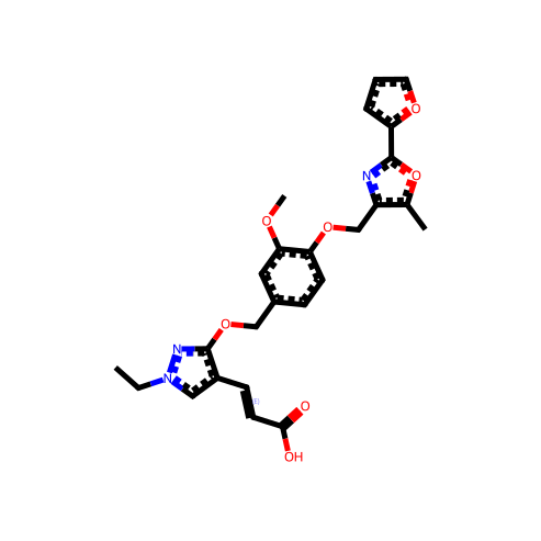 CCn1cc(/C=C/C(=O)O)c(OCc2ccc(OCc3nc(-c4ccco4)oc3C)c(OC)c2)n1